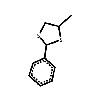 CC1CSC(c2ccccc2)S1